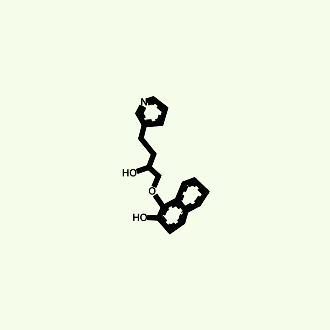 Oc1ccc2ccccc2c1OCC(O)CCc1cccnc1